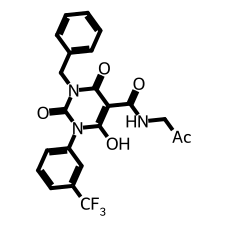 CC(=O)CNC(=O)c1c(O)n(-c2cccc(C(F)(F)F)c2)c(=O)n(Cc2ccccc2)c1=O